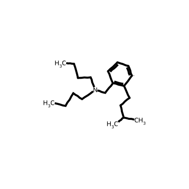 CCCCN(CCCC)Cc1ccc[c]c1CCC(C)C